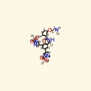 Cc1ccc(OCCN(C)C)cc1C(=O)N[C@H](C)c1cc(-c2cnn(S(C)(=O)=O)c2)cc(-c2cnn(S(C)(=O)=O)c2)c1